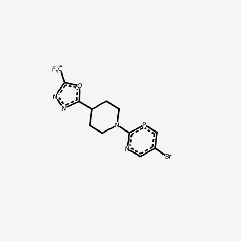 FC(F)(F)c1nnc(C2CCN(c3ncc(Br)cp3)CC2)o1